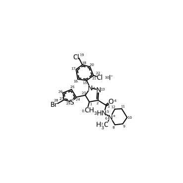 CC1C(C(=O)N[N+]2(C)CCCCC2)=NN(c2ccc(Cl)cc2Cl)C1c1ccc(Br)s1.[I-]